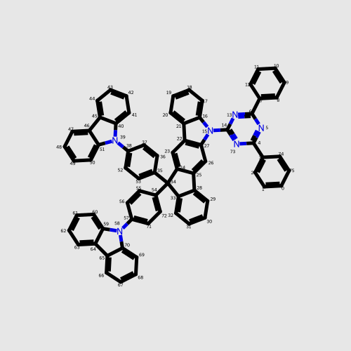 c1ccc(-c2nc(-c3ccccc3)nc(-n3c4ccccc4c4cc5c(cc43)-c3ccccc3C5(c3ccc(-n4c5ccccc5c5ccccc54)cc3)c3ccc(-n4c5ccccc5c5ccccc54)cc3)n2)cc1